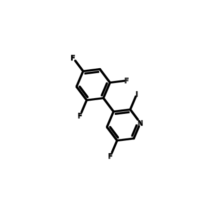 Fc1cc(F)c(-c2cc(F)cnc2I)c(F)c1